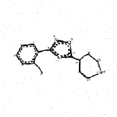 Cc1ccccc1-c1noc(C2CCNCC2)n1